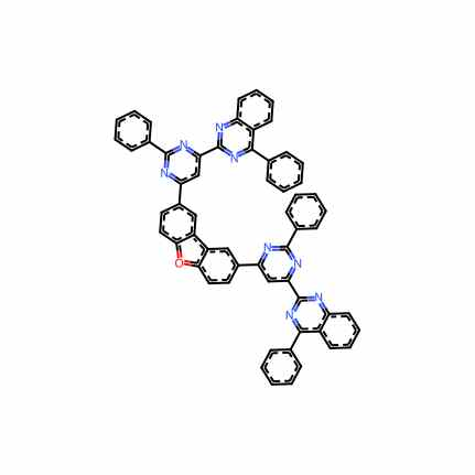 c1ccc(-c2nc(-c3ccc4oc5ccc(-c6cc(-c7nc(-c8ccccc8)c8ccccc8n7)nc(-c7ccccc7)n6)cc5c4c3)cc(-c3nc(-c4ccccc4)c4ccccc4n3)n2)cc1